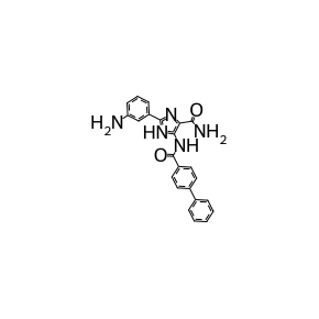 NC(=O)c1nc(-c2cccc(N)c2)[nH]c1NC(=O)c1ccc(-c2ccccc2)cc1